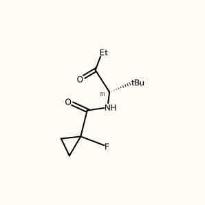 CCC(=O)[C@@H](NC(=O)C1(F)CC1)C(C)(C)C